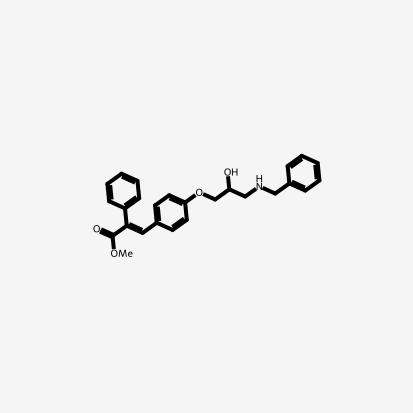 COC(=O)/C(=C/c1ccc(OCC(O)CNCc2ccccc2)cc1)c1ccccc1